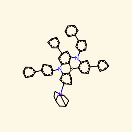 c1ccc(-c2ccc(N3c4cc(N5C6CC7CC(C6)CC5C7)ccc4B4c5ccc(-c6ccccc6)cc5N(c5cccc(-c6ccccc6)c5)c5cc(-c6ccccc6)cc3c54)cc2)cc1